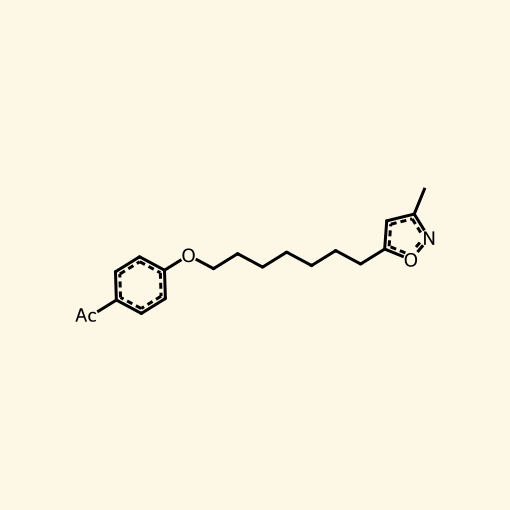 CC(=O)c1ccc(OCCCCCCCc2cc(C)no2)cc1